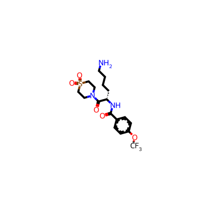 NCCCC[C@H](NC(=O)c1ccc(OC(F)(F)F)cc1)C(=O)N1CCS(=O)(=O)CC1